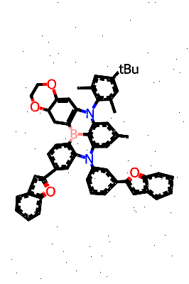 Cc1cc2c3c(c1)N(c1cccc(-c4cc5ccccc5o4)c1)c1cc(-c4cc5ccccc5o4)ccc1B3C1=C(C=C3OCCOC3C1)N2c1c(C)cc(C(C)(C)C)cc1C